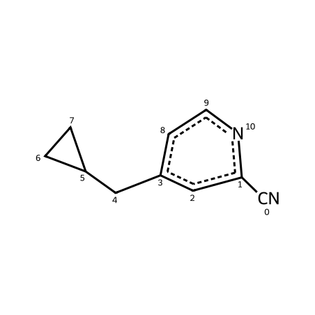 N#Cc1cc(CC2CC2)ccn1